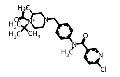 C[C@H]1CN(Cc2ccc(N(C)C(=O)c3ccc(Cl)nc3)cc2)CC[N+]1(C(=O)[O-])C(C)(C)C